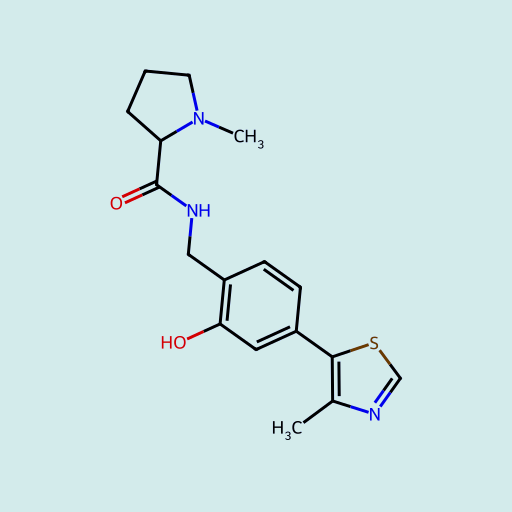 Cc1ncsc1-c1ccc(CNC(=O)C2CCCN2C)c(O)c1